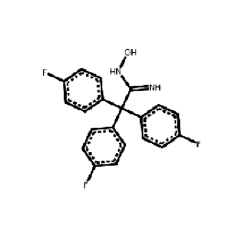 N=C(NO)C(c1ccc(F)cc1)(c1ccc(F)cc1)c1ccc(F)cc1